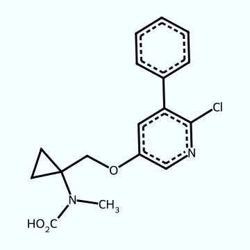 CN(C(=O)O)C1(COc2cnc(Cl)c(-c3ccccc3)c2)CC1